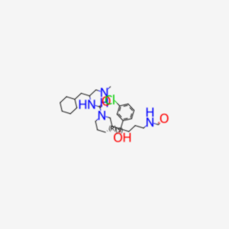 CNCC(CC1CCCCC1)NC(=O)N1CCC[C@@H]([C@@](O)(CCCNC=O)c2cccc(Cl)c2)C1